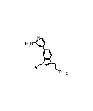 CC(C)Cn1cc(CCN)c2ccc(-c3ccnc(N)c3)cc21